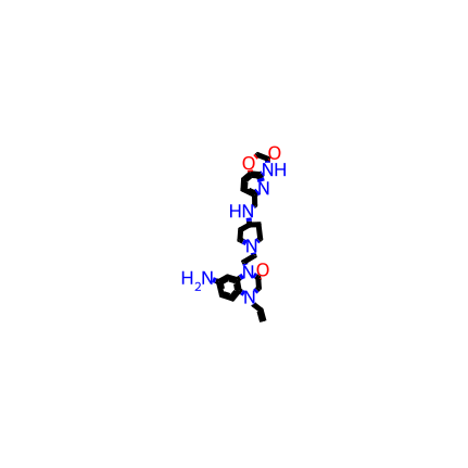 C=CCN1CC(=O)N(CCN2CCC(NCc3ccc4c(n3)NC(=O)CO4)CC2)c2cc(N)ccc21